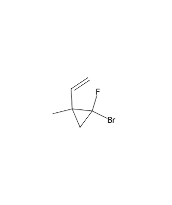 C=CC1(C)CC1(F)Br